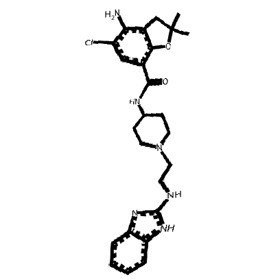 CC1(C)Cc2c(N)c(Cl)cc(C(=O)NC3CCN(CCNc4nc5ccccc5[nH]4)CC3)c2O1